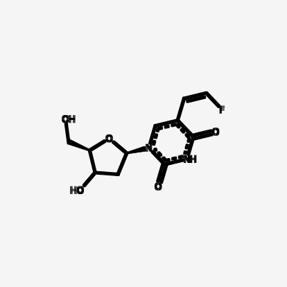 O=c1[nH]c(=O)n([C@H]2CC(O)[C@@H](CO)O2)cc1/C=C\F